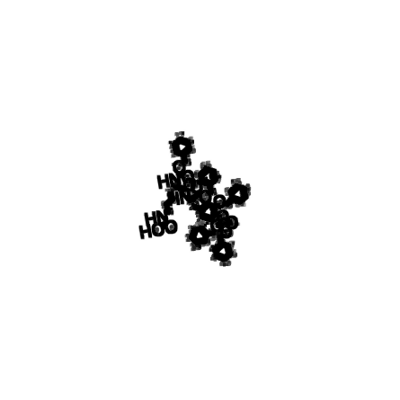 O=C(O)NCCCC[C@H](NC(=O)OCc1ccccc1)C(=O)N[C@@H](Cc1ccc(OP(=O)(OCc2ccccc2)OCc2ccccc2)c(OCc2ccccc2)c1)C(=O)OCc1ccccc1